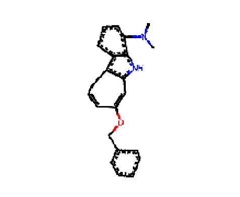 CN(C)c1cccc2c3c([nH]c12)C=C(OCc1ccccc1)C=CC3